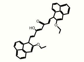 CCOC1=Cc2cccc3cccc(c23)C1/C=C/C(=O)/C=C(O)/C=C/C1C(OCC)=Cc2cccc3cccc1c23